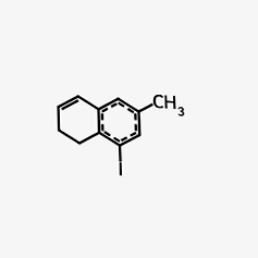 Cc1cc(I)c2c(c1)C=CCC2